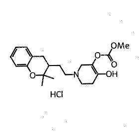 COC(=O)OC1=C(O)CCN(CCC2Cc3ccccc3OC2(C)C)C1.Cl